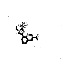 CCn1cc(-c2cccc3cc(C(C)=O)cnc23)nc1S(N)(=O)=O